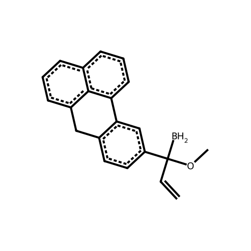 BC(C=C)(OC)c1ccc2c(c1)-c1cccc3cccc(c13)C2